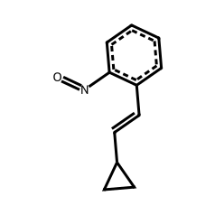 O=Nc1ccccc1/C=C/C1CC1